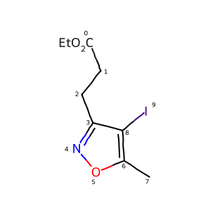 CCOC(=O)CCc1noc(C)c1I